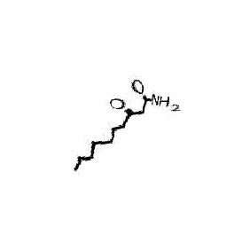 CCCCCCCC(=O)CC(N)=O